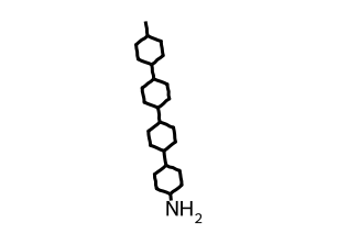 CC1CCC(C2CCC(C3CCC(C4CCC(N)CC4)CC3)CC2)CC1